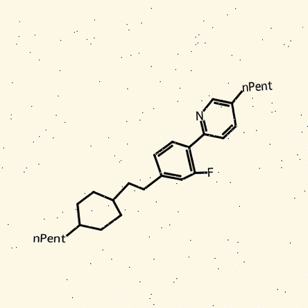 CCCCCc1ccc(-c2ccc(CCC3CCC(CCCCC)CC3)cc2F)nc1